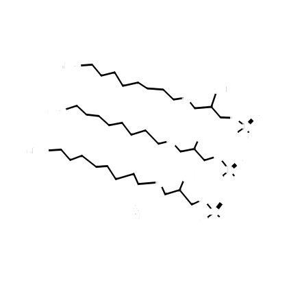 CCCCCCCCCCCCCCCCCCOCC(O)COP(=O)([O-])[O-].CCCCCCCCCCCCCCCCCCOCC(O)COP(=O)([O-])[O-].CCCCCCCCCCCCCCCCCCOCC(O)COP(=O)([O-])[O-].[Al+3].[Al+3]